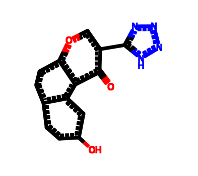 O=c1c(-c2nnn[nH]2)coc2ccc3ccc(O)cc3c12